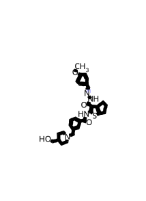 COc1ccc(/C=N/NC(=O)c2c(NC(=O)c3cccc(CN4CCC(CO)CC4)c3)sc3c2CCC3)cc1